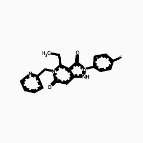 CCc1c2c(=O)n(-c3ccc(F)cc3)[nH]c2cc(=O)n1Cc1ccccn1